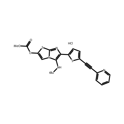 COC(=O)Oc1cn2c(NC(C)(C)C)c(-c3ccc(C#Cc4ccccn4)s3)nc2s1.Cl